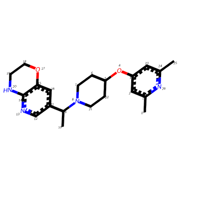 Cc1cc(OC2CCN(C(C)c3cnc4c(c3)OCCN4)CC2)cc(C)n1